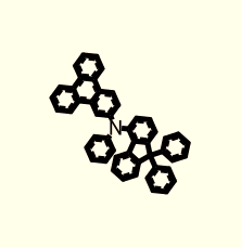 c1ccc(N(c2ccc3c4ccccc4c4ccccc4c3c2)c2cccc3c2-c2ccccc2C3(c2ccccc2)c2ccccc2)cc1